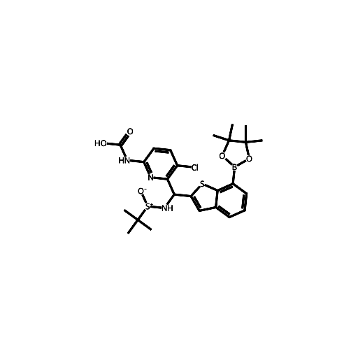 CC(C)(C)[S+]([O-])NC(c1cc2cccc(B3OC(C)(C)C(C)(C)O3)c2s1)c1nc(NC(=O)O)ccc1Cl